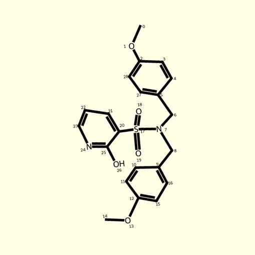 COc1ccc(CN(Cc2ccc(OC)cc2)S(=O)(=O)c2cccnc2O)cc1